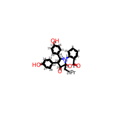 CC(C)CC12OC(=O)c3ccccc3N1C(c1ccc(O)cc1)=C(c1ccc(O)cc1)C2=O